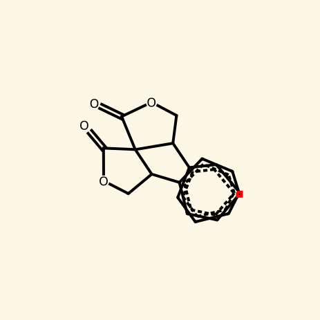 O=C1OCC(c2ccccc2)C12C(=O)OCC2c1ccccc1